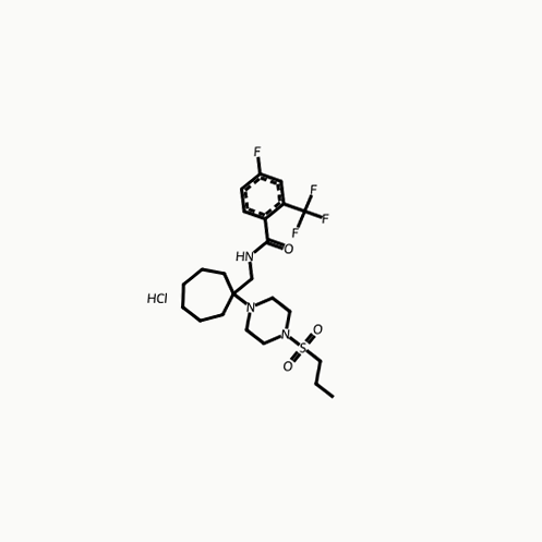 CCCS(=O)(=O)N1CCN(C2(CNC(=O)c3ccc(F)cc3C(F)(F)F)CCCCCC2)CC1.Cl